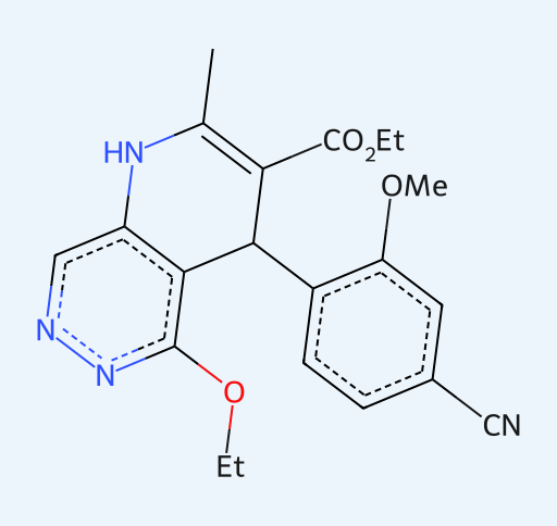 CCOC(=O)C1=C(C)Nc2cnnc(OCC)c2C1c1ccc(C#N)cc1OC